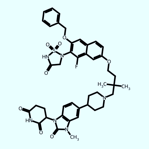 Cn1c(=O)n(C2CCC(=O)NC2=O)c2ccc(C3CCN(CC(C)(C)CCOc4ccc5cc(OCc6ccccc6)c(N6CC(=O)NS6(=O)=O)c(F)c5c4)CC3)cc21